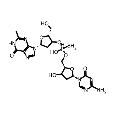 B[PH](O)(OC[C@H]1O[C@@H](n2cnc(N)nc2=O)CC1O)OC1C[C@H](n2cnc3c(=O)[nH]c(C)nc32)O[C@@H]1CO